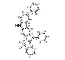 CC1(C)c2ccccc2-c2c1c1cc3[nH]c4ccc(-c5cccnc5)cc4c3cc1n2-c1ccccc1